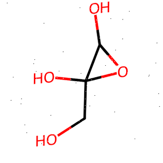 OCC1(O)OC1O